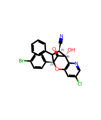 N#C[C@@H]1C(c2ccccc2)[C@@]2(c3ccc(Br)cc3)Oc3cc(Cl)cnc3[C@@]1(O)C2=O